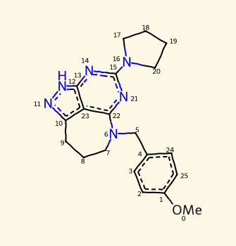 COc1ccc(CN2CCCc3n[nH]c4nc(N5CCCC5)nc2c34)cc1